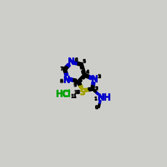 CNc1nc2cncnc2s1.Cl